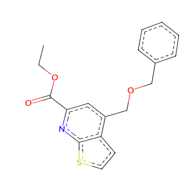 CCOC(=O)c1cc(COCc2ccccc2)c2ccsc2n1